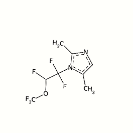 Cc1cnc(C)n1C(F)(F)C(F)OC(F)(F)F